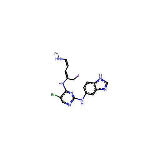 CC(C)N/C=C\C=C(/CI)Nc1nc(Nc2ccc3[nH]cnc3c2)ncc1Br